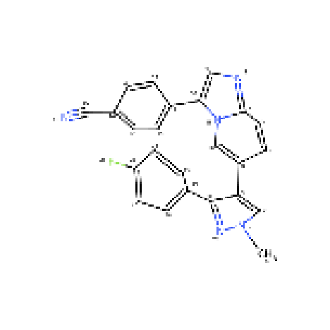 Cn1cc(-c2ccc3ncc(-c4ccc(C#N)cc4)n3c2)c(-c2ccc(F)cc2)n1